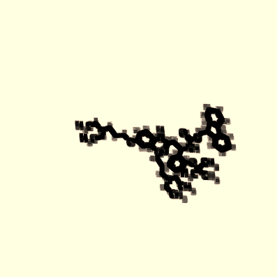 CCN(CC)CCCOc1ccc(NC(=O)CC(NC(=O)OCC2c3ccccc3-c3ccccc32)c2ccccc2OC(C)(C)C)c(OCCCN(CC)CC)c1